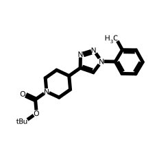 Cc1ccccc1-n1cc(C2CCN(C(=O)OC(C)(C)C)CC2)nn1